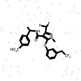 CC(NC(=O)c1c(C(F)F)nn(C)c1Oc1cccc(CC(F)(F)F)c1)c1ccc(C(=O)O)cc1